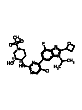 CC(C)n1c(C2CCO2)nc2c(F)cc(-c3nc(N[C@@H]4CCN(S(C)(=O)=O)C[C@H]4O)ncc3Cl)cc21